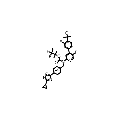 CC(C)(O)c1ccc(-c2cc(N(CC34CCC(c5nc(C6CC6)no5)(CC3)CC4)C(=O)OC(C)(C)C(F)(F)F)ncc2F)cc1F